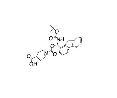 CC(C)(C)OC(=O)NC(OC(=O)N1CCC(C(=O)O)CC1)c1cccc2c1Cc1ccccc1-2